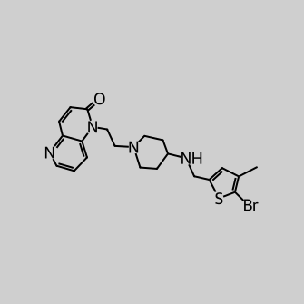 Cc1cc(CNC2CCN(CCn3c(=O)ccc4ncccc43)CC2)sc1Br